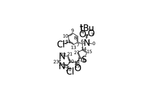 CN(C(=O)OC(C)(C)C)C(c1cccc(Cl)c1)c1csc(C(=O)c2cncnc2Cl)c1